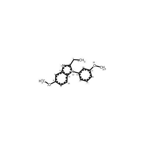 CCc1nc2cc(OC)ccc2n1-c1cccc(OC)c1